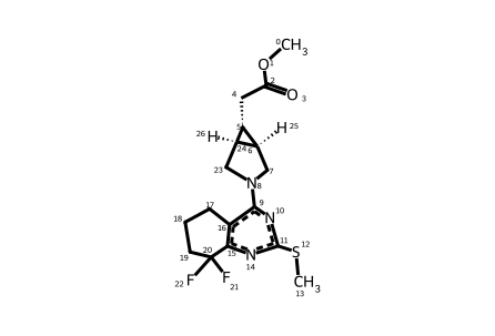 COC(=O)C[C@@H]1[C@H]2CN(c3nc(SC)nc4c3CCCC4(F)F)C[C@@H]12